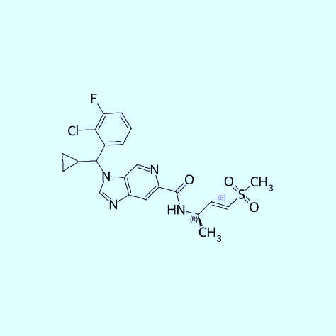 C[C@H](/C=C/S(C)(=O)=O)NC(=O)c1cc2ncn(C(c3cccc(F)c3Cl)C3CC3)c2cn1